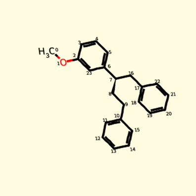 COc1cccc([C@H](CCc2ccccc2)Cc2ccccc2)c1